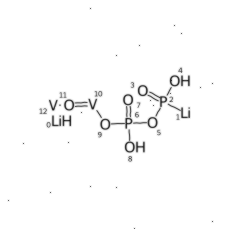 [LiH].[Li][P](=O)(O)OP(=O)(O)[O][V]=[O].[V]